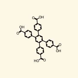 O=C(O)c1ccc(-c2cc(-c3ccc(C(=O)O)cc3)c(-c3ccc(C(=O)O)cc3)cc2-c2ccc(C(=O)O)cc2)cc1